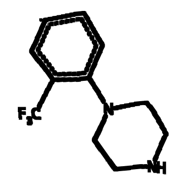 FC(F)(F)c1c[c]ccc1N1CCNCC1